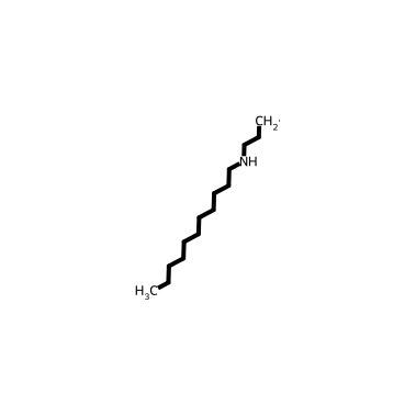 [CH2]CCNCCCCCCCCCCC